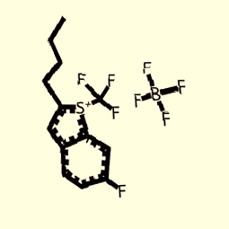 CCCCc1cc2ccc(F)cc2[s+]1C(F)(F)F.F[B-](F)(F)F